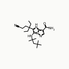 CCC(CC)(CCC#N)c1[nH]c2c(C(N)=O)cnn2c1NC(C)(C)CC(C)(C)C